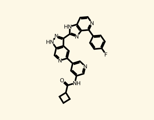 O=C(Nc1cncc(-c2cc3c(-c4nc5c(-c6ccc(F)cc6)nccc5[nH]4)n[nH]c3cn2)c1)C1CCC1